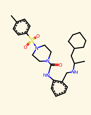 Cc1ccc(S(=O)(=O)N2CCN(C(=O)Nc3ccccc3CNC(C)CC3CCCCC3)CC2)cc1